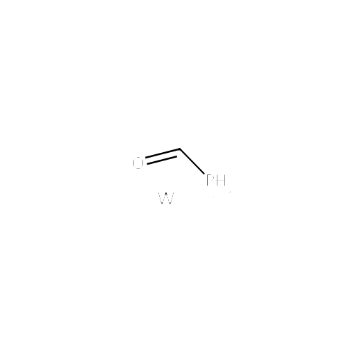 O=CP.[W]